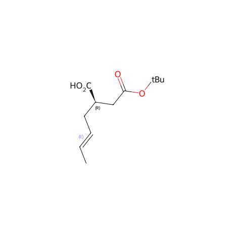 C/C=C/C[C@H](CC(=O)OC(C)(C)C)C(=O)O